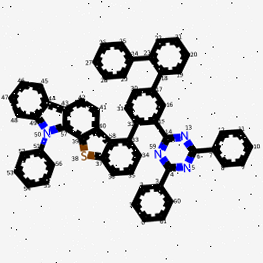 c1ccc(-c2nc(-c3ccccc3)nc(-c3cc(-c4ccccc4-c4ccccc4)ccc3-c3cccc4sc5c(ccc6c7ccccc7n(-c7ccccc7)c65)c34)n2)cc1